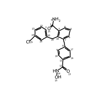 NC(=O)c1cccc(-c2ccc(C(=O)NO)cc2)c1Cc1cccc(Cl)c1